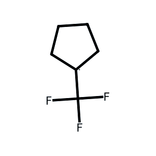 FC(F)(F)[C]1CCCC1